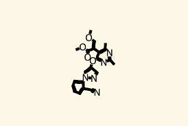 CO/C=C(\C(=O)OC)c1c(C)nc(C)nc1Oc1cnn(-c2ccccc2C#N)c1